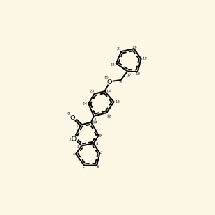 O=c1oc2ccccc2cc1-c1ccc(OCc2ccccc2)cc1